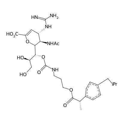 CC(=O)N[C@H]1C([C@H](OC(=O)NCCCOC(=O)[C@@H](C)c2ccc(CC(C)C)cc2)[C@H](O)CO)OC(C(=O)O)=C[C@@H]1NC(=N)N